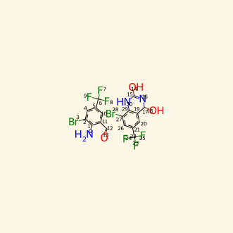 Nc1c(Br)cc(C(F)(F)F)cc1C=O.OC1=NC(O)c2cc(C(F)(F)F)cc(Br)c2N1